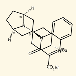 CCOC(=O)c1nc2ccccc2n([C@H]2C[C@H]3CC[C@@H](C2)N3[C@H]2CC[C@@H](C(C)(C)C)CC2)c1=O